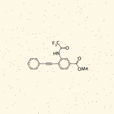 COC(=O)c1ccc(C#Cc2ccccc2)c(NC(=O)C(F)(F)F)c1